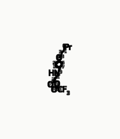 CC(C)CCCOc1ccc(CNCCC(=O)OC(=O)C(F)(F)F)cc1